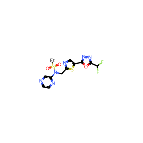 CCS(=O)(=O)N(Cc1ncc(-c2nnc(C(F)F)o2)s1)c1cnccn1